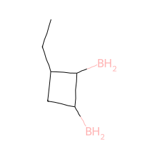 BC1CC(CC)C1B